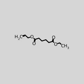 C=CCOC(=O)CCCCC(=O)OCC